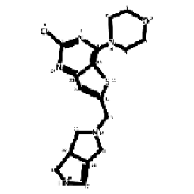 Clc1nc(N2CCOCC2)c2sc(CN3CC4=CNCC4C3)cc2n1